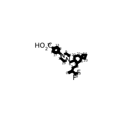 C=C(CCC1=C(CN2CCN(c3ccc(C(=O)O)cc3)CC2)CCC2(CCC2)C1)C(F)F